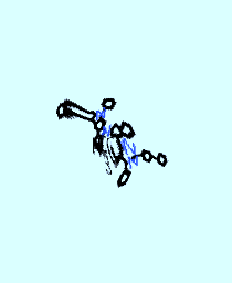 CCC1C(c2cc(-n3c4ccccc4c4cc5c6c7ccccc7ccc6n(-c6ccccc6)c5cc43)cc3ccccc23)=NC(c2ccc(-c3ccccc3)cc2)=NC1c1ccccc1